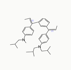 C/C=C(/c1ccc(N(CC(C)C)CC(C)C)cc1)c1cccc(/C(=C/C)c2ccc(N(C)CC(C)C)cc2)c1